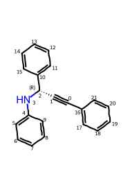 C(#C[C@H](Nc1ccccc1)c1ccccc1)c1ccccc1